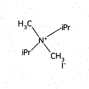 CC(C)[N+](C)(C)C(C)C.[I-]